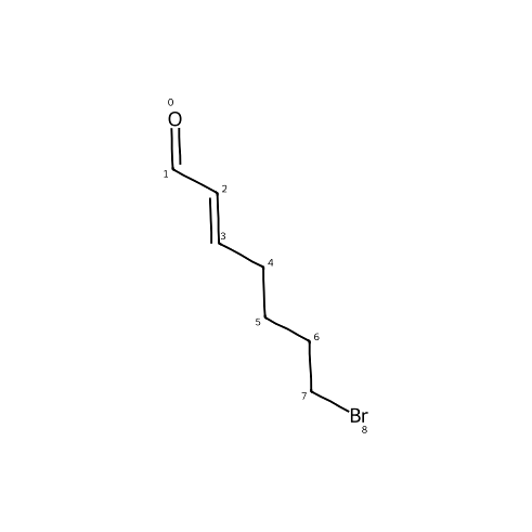 O=C/C=C/CCCCBr